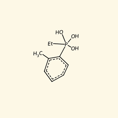 CCP(O)(O)(O)c1ccccc1C